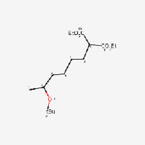 CCOC(=O)C(CCCCC(C)OC(C)(C)C)C(=O)OCC